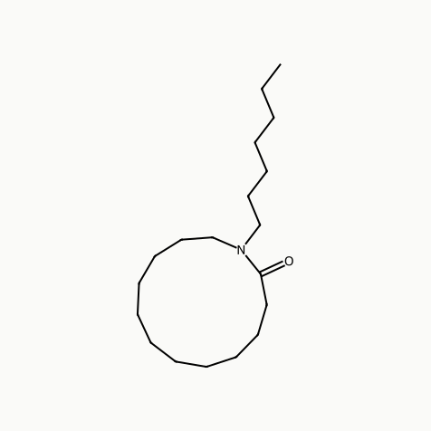 CCCCCCCN1CCCCCCCCCCCC1=O